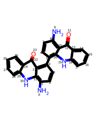 Nc1ccc(-c2ccc(N)c3c(=O)c4ccccc4[nH]c23)c2c(=O)c3ccccc3[nH]c12